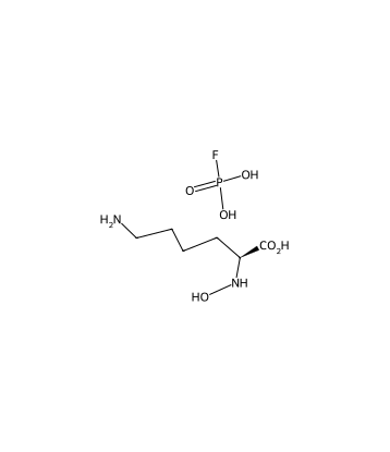 NCCCC[C@H](NO)C(=O)O.O=P(O)(O)F